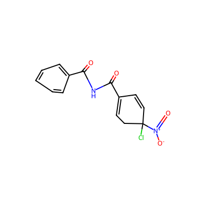 O=C(NC(=O)c1ccccc1)C1=CCC(Cl)([N+](=O)[O-])C=C1